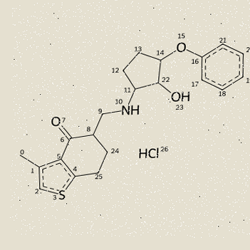 Cc1csc2c1C(=O)C(CNC1CCC(Oc3ccccc3)C1O)CC2.Cl